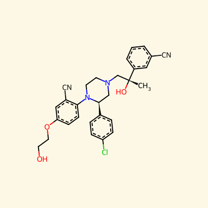 C[C@@](O)(CN1CCN(c2ccc(OCCO)cc2C#N)[C@H](c2ccc(Cl)cc2)C1)c1cccc(C#N)c1